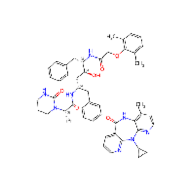 Cc1cccc(C)c1OCC(=O)N[C@@H](Cc1ccccc1)[C@@H](O)C[C@H](Cc1ccccc1)NC(=O)[C@H](C(C)C)N1CCCNC1=O.Cc1ccnc2c1NC(=O)c1cccnc1N2C1CC1